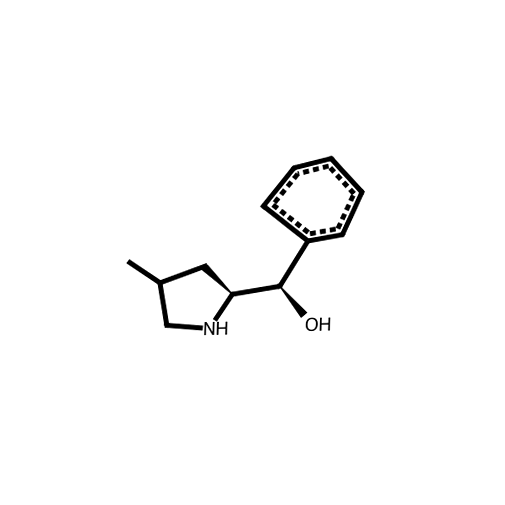 CC1CN[C@H]([C@H](O)c2ccccc2)C1